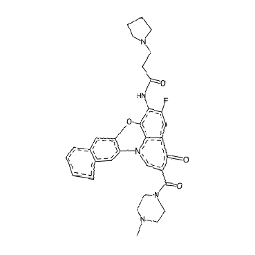 CN1CCN(C(=O)c2cn3c4c(c(NC(=O)CCN5CCCC5)c(F)cc4c2=O)Oc2cc4ccccc4cc2-3)CC1